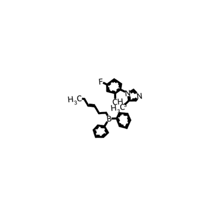 CCC=CCCB(c1ccccc1)c1ccccc1.Cc1cc(F)ccc1-n1cncc1C